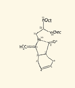 C=C1C2CC=CCC2C(=O)N1CC(CCCCCCCC)CCCCCCCCCC